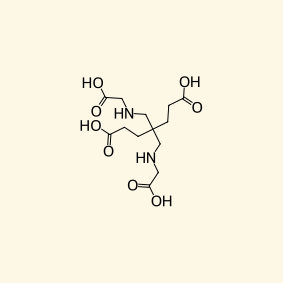 O=C(O)CCC(CCC(=O)O)(CNCC(=O)O)CNCC(=O)O